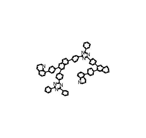 c1ccc(-c2nc(-c3ccc(-c4ccc5cc(-c6ccc(-c7cccc8cccnc78)cc6)c(-c6ccc(-c7nc(-c8ccccc8)nc(-c8ccccc8)n7)cc6)cc5c4)cc3)nc(-c3ccc(-c4cc5ccccc5cc4-c4ccc(-c5cccc6ncccc56)cc4)cc3)n2)cc1